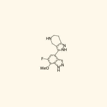 COc1c(F)cc(-c2[nH]nc3c2CNCC3)c2cn[nH]c12